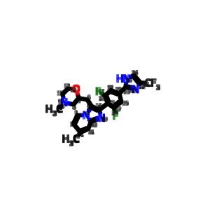 Cc1ccn2c(CC3CN(C)CCO3)c(-c3c(F)cc(-c4nc(C(F)(F)F)c[nH]4)cc3F)nc2c1